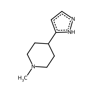 CN1CCC(c2ccn[nH]2)CC1